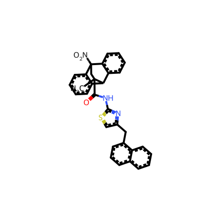 CC1(C(=O)Nc2nc(Cc3cccc4ccccc34)cs2)CC2([N+](=O)[O-])c3ccccc3C1c1ccccc12